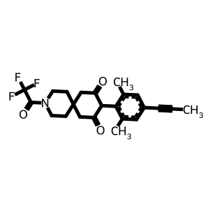 CC#Cc1cc(C)c(C2C(=O)CC3(CCN(C(=O)C(F)(F)F)CC3)CC2=O)c(C)c1